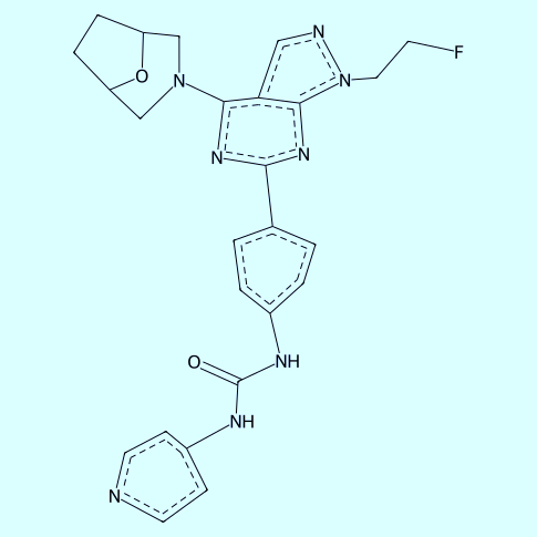 O=C(Nc1ccncc1)Nc1ccc(-c2nc(N3CC4CCC(C3)O4)c3cnn(CCF)c3n2)cc1